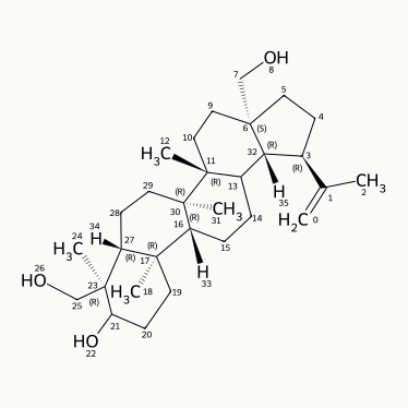 C=C(C)[C@@H]1CC[C@]2(CO)CC[C@]3(C)C(CC[C@@H]4[C@@]5(C)CCC(O)[C@@](C)(CO)[C@@H]5CC[C@]43C)[C@@H]12